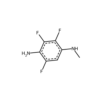 CNc1cc(F)c(N)c(F)c1F